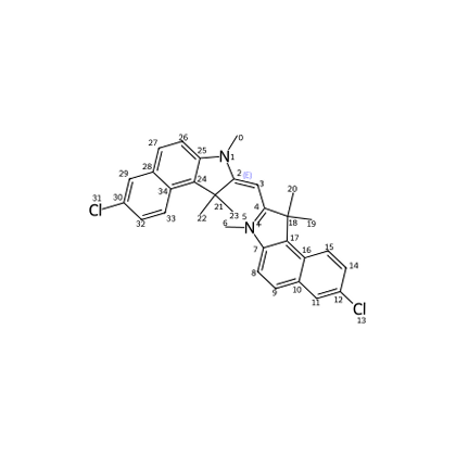 CN1/C(=C/C2=[N+](C)c3ccc4cc(Cl)ccc4c3C2(C)C)C(C)(C)c2c1ccc1cc(Cl)ccc21